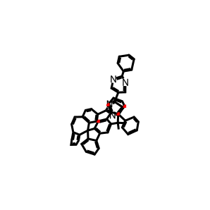 CC1(C)c2ccccc2-c2cc3c(cc21)-c1ccccc1C31c2ccccc2C=Cc2ccc(-c3nc(-c4ccccc4)cc(-c4cnc(-c5ccccc5)nc4)n3)cc21